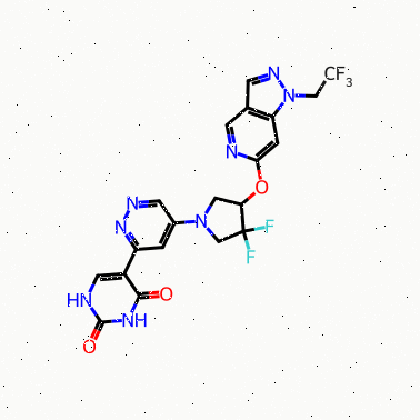 O=c1[nH]cc(-c2cc(N3CC(Oc4cc5c(cn4)cnn5CC(F)(F)F)C(F)(F)C3)cnn2)c(=O)[nH]1